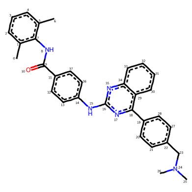 Cc1cccc(C)c1NC(=O)c1ccc(Nc2nc(-c3ccc(CN(C)C)cc3)c3ccccc3n2)cc1